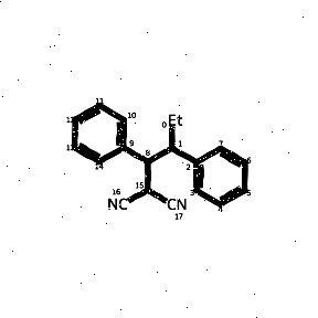 CCC(c1ccccc1)C(c1ccccc1)C(C#N)C#N